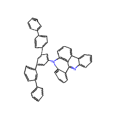 c1ccc(-c2ccc(-c3cc(-c4cccc(-c5ccccc5)c4)cc(N4c5ccccc5-c5nc6ccccc6c6cccc4c56)c3)cc2)cc1